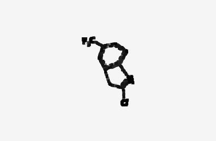 FC(F)(F)c1ccc2c(c1)CC(Cl)=N2